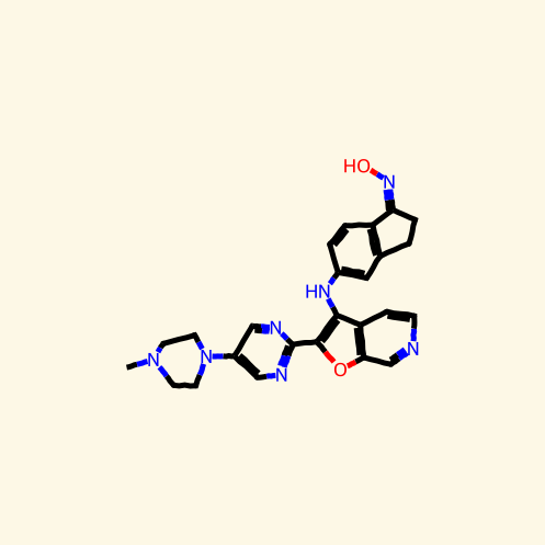 CN1CCN(c2cnc(-c3oc4cnccc4c3Nc3ccc4c(c3)CC/C4=N/O)nc2)CC1